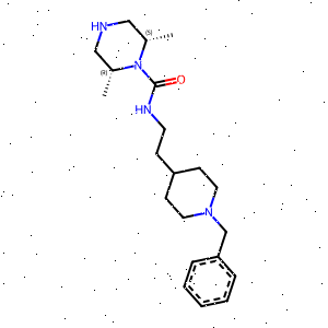 C[C@@H]1CNC[C@H](C)N1C(=O)NCCC1CCN(Cc2ccccc2)CC1